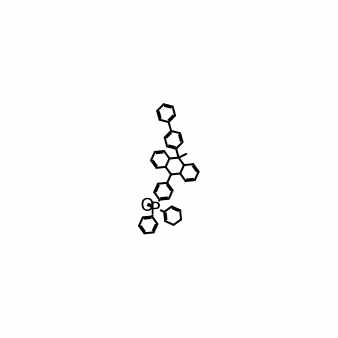 CC1(c2ccc(-c3ccccc3)cc2)C2C=CC=CC2C(c2ccc(P(=O)(C3=CCCC=C3)c3ccccc3)cc2)C2C=CC=CC21